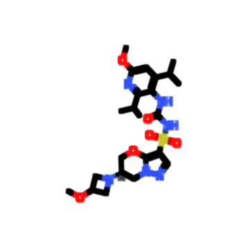 COc1cc(C(C)C)c(NC(=O)NS(=O)(=O)c2cnn3c2OC[C@@H](N2CC(OC)C2)C3)c(C(C)C)n1